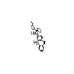 CCOC(=O)Nc1ccc2c(c1)Nc1ccccc1C=C2